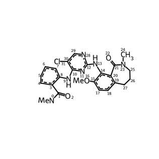 CNC(=O)c1ccccc1Nc1nc(Nc2c(OC)ccc3c2C(=O)N(C)CCC3)ncc1Cl